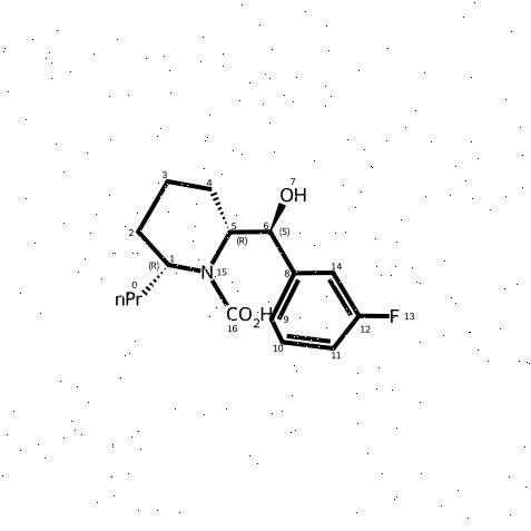 CCC[C@@H]1CCC[C@H]([C@@H](O)c2cccc(F)c2)N1C(=O)O